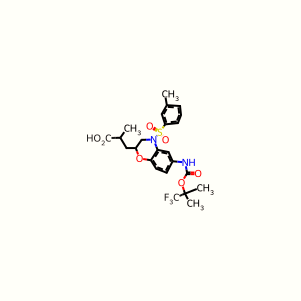 Cc1cccc(S(=O)(=O)N2CC(CC(C)C(=O)O)Oc3ccc(NC(=O)OC(C)(C)C(F)(F)F)cc32)c1